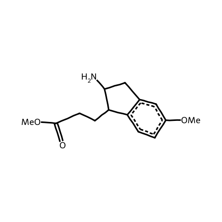 COC(=O)CCC1c2ccc(OC)cc2CC1N